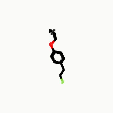 C=COc1ccc(CCF)cc1